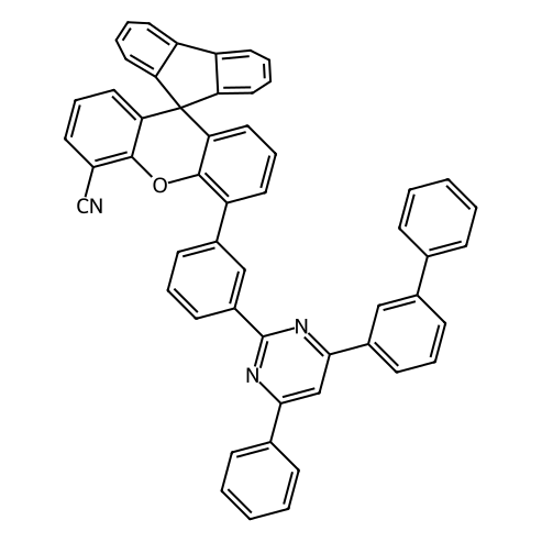 N#Cc1cccc2c1Oc1c(-c3cccc(-c4nc(-c5ccccc5)cc(-c5cccc(-c6ccccc6)c5)n4)c3)cccc1C21c2ccccc2-c2ccccc21